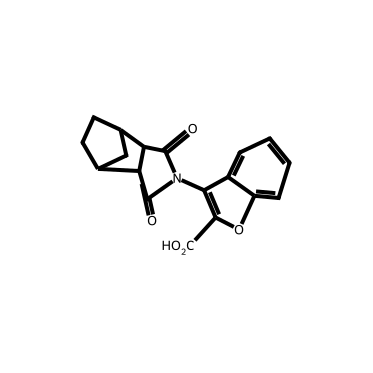 O=C(O)c1oc2ccccc2c1N1C(=O)C2C3CCC(C3)C2C1=O